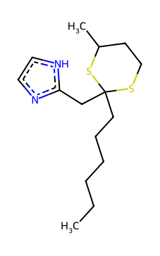 CCCCCCC1(Cc2ncc[nH]2)SCCC(C)S1